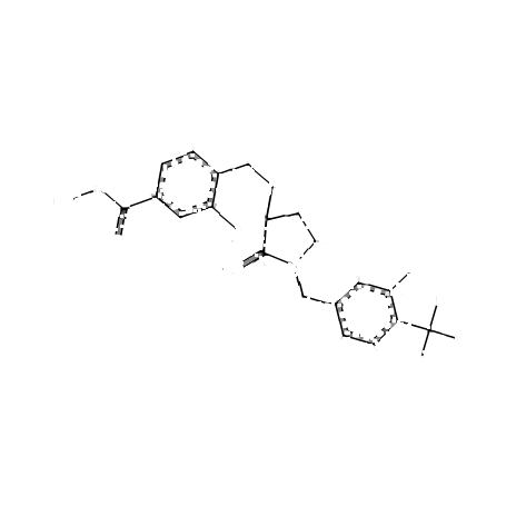 O=C(NO)c1ccc2c(c1)C[C@]1(CC2)CCN(Cc2ccc(C(F)(F)F)c(F)c2)C1=O